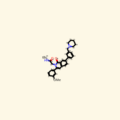 COc1cccc(-c2cc3ccc(-c4cccc(CN5CCCCC5)c4)cc3c(=O)n2CC(=O)NC(C)(C)C)c1